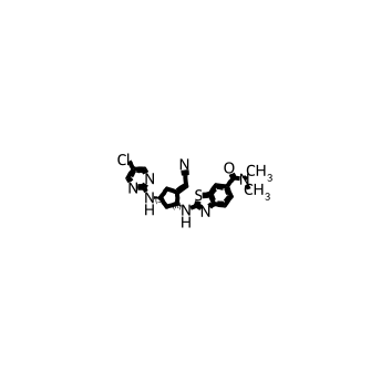 CN(C)C(=O)c1ccc2nc(N[C@@H]3C[C@@H](Nc4ncc(Cl)cn4)CC3=CC#N)sc2c1